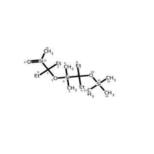 CCC(CC)(O[Si](C)(C)C(CC)(CC)O[Si](C)(C)C)[Si](C)=O